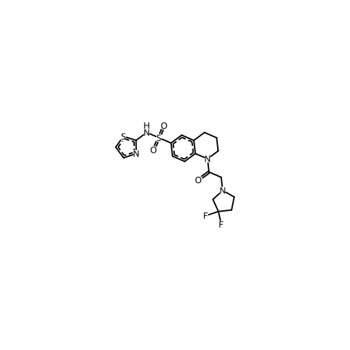 O=C(CN1CCC(F)(F)C1)N1CCCc2cc(S(=O)(=O)Nc3nccs3)ccc21